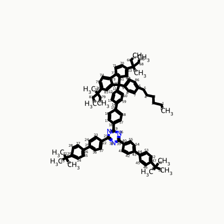 CCCCCCc1ccc(C2(c3ccc(-c4ccc(-c5nc(-c6ccc(-c7ccc(C(C)(C)C)cc7)cc6)nc(-c6ccc(-c7ccc(C(C)(C)C)cc7)cc6)n5)cc4)cc3)c3cc(C(C)(CC)CC)ccc3-c3ccc(C(C)(CC)CC)cc32)cc1